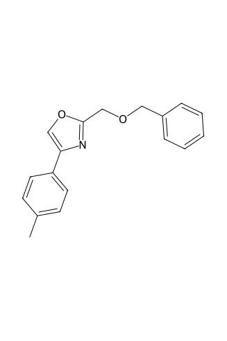 Cc1ccc(-c2coc(COCc3ccccc3)n2)cc1